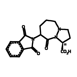 O=C(O)[C@@H]1CCN2CCCC(N3C(=O)c4ccccc4C3=O)C(=O)N12